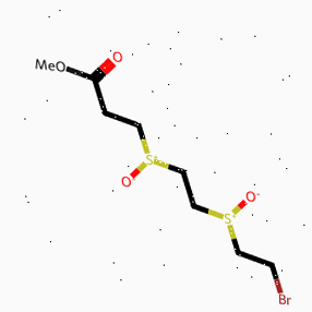 COC(=O)CC[S+]([O-])CC[S+]([O-])CCBr